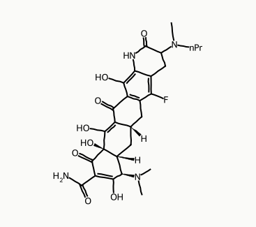 CCCN(C)C1Cc2c(F)c3c(c(O)c2NC1=O)C(=O)C1=C(O)[C@@]2(O)C(=O)C(C(N)=O)=C(O)[C@H](N(C)C)[C@H]2C[C@H]1C3